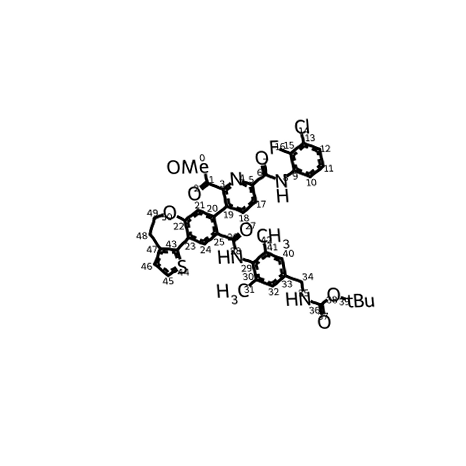 COC(=O)c1nc(C(=O)Nc2cccc(Cl)c2F)ccc1-c1cc2c(cc1C(=O)Nc1c(C)cc(CNC(=O)OC(C)(C)C)cc1C)-c1sccc1CCO2